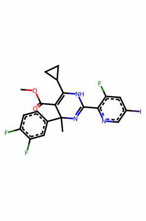 COC(=O)C1=C(C2CC2)NC(c2ncc(I)cc2F)=NC1(C)c1ccc(F)c(F)c1